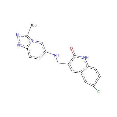 CC(C)(C)c1nnc2ccc(NCc3cc4cc(Cl)ccc4[nH]c3=O)cn12